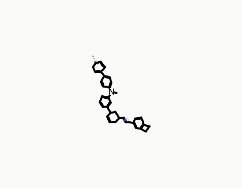 C[C@@H]1C=CC(c2ccc(N(C)c3cccc(C4C=CCC(/C=C/c5ccc6c(c5)CC6)C4)c3)cc2)=CC1